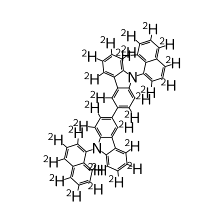 [2H]c1c([2H])c([2H])c2c(-n3c4c([2H])c([2H])c([2H])c([2H])c4c4c([2H])c(-c5c([2H])c([2H])c6c(c5[2H])c5c([2H])c([2H])c([2H])c([2H])c5n6-c5c([2H])c([2H])c([2H])c6c([2H])c([2H])c([2H])c([2H])c56)c([2H])c([2H])c43)c([2H])c([2H])c([2H])c2c1[2H]